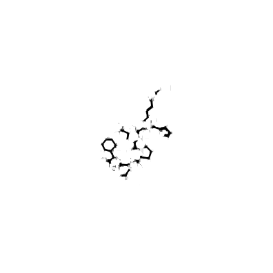 CCOC(=O)/C=C/CC[C@H](NC(=O)c1cccs1)C(=O)N[C@@H](CCC(N)=O)C(=O)N1CCC[C@H]1C(=O)N[C@@H](CC(C)C)C(=O)N[C@H](C(N)=O)C1CCCCC1